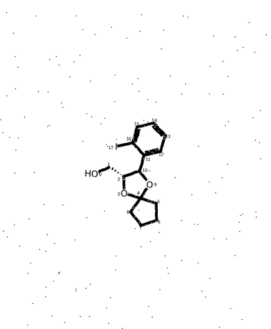 OC[C@H]1OC2(CCCC2)OC1c1ccccc1I